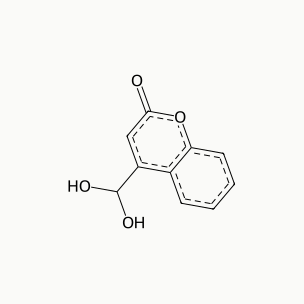 O=c1cc(C(O)O)c2ccccc2o1